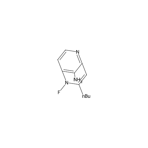 CCCCC1=Cc2nccc(c2N)N1F